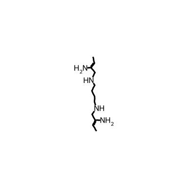 C/C=C(\N)CNCCCCNC/C(N)=C/C